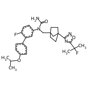 CC(C)Oc1ccc(-c2cc(N(CC34CCC(c5noc(C(C)(C)F)n5)(CC3)C4)C(N)=O)ccc2F)cc1